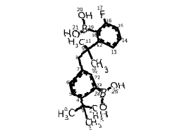 CC(C)(C)c1ccc(CC(C)(C)c2cccc(F)c2B(O)O)cc1B(O)O